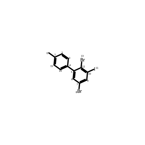 Cc1ccc(-c2cc(Br)cc(I)c2Br)cc1